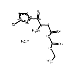 CCOC(=O)OC(=O)CC(N)C(=O)c1ccc(Cl)s1.Cl